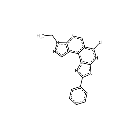 CCn1ncc2c1ncc1c(Cl)nc3nc(-c4ccccc4)nn3c12